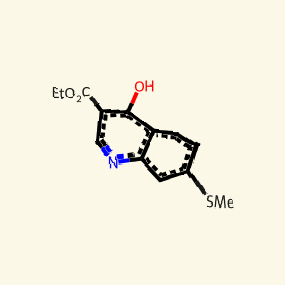 CCOC(=O)c1cnc2cc(SC)ccc2c1O